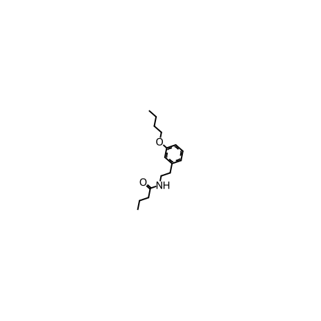 CCCCOc1cccc(CCNC(=O)CCC)c1